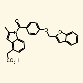 Cc1cc2c(CC(=O)O)cccc2n1C(=O)c1ccc(OCc2cc3ccccc3o2)cc1